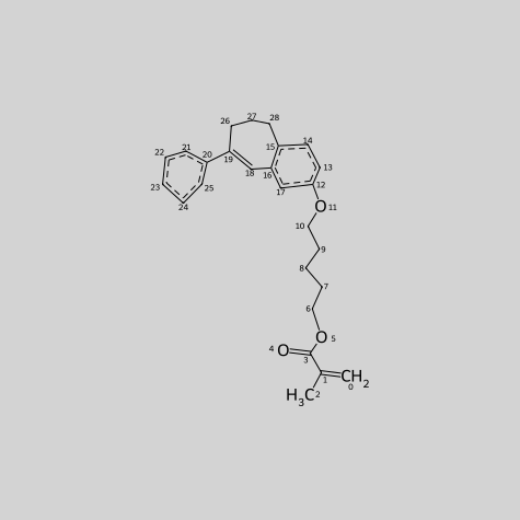 C=C(C)C(=O)OCCCCCOc1ccc2c(c1)C=C(c1ccccc1)CCC2